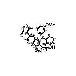 COc1ccnc(C(C2CCOCC2)n2c3cc(-c4c(C)noc4C)cnc3c3snc(C(C)(C)O)c32)c1